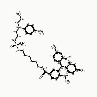 CP(=O)(OCCCCCCNC(=O)c1ccc(C(=O)O)c(-c2c3ccc(=O)cc-3oc3cc(O)ccc23)c1)OCCN(CCO)c1ccc(N)cc1